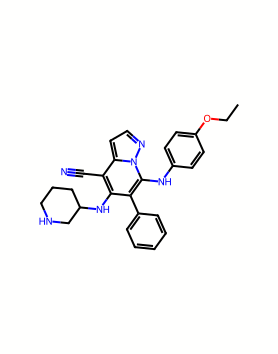 CCOc1ccc(Nc2c(-c3ccccc3)c(NC3CCCNC3)c(C#N)c3ccnn23)cc1